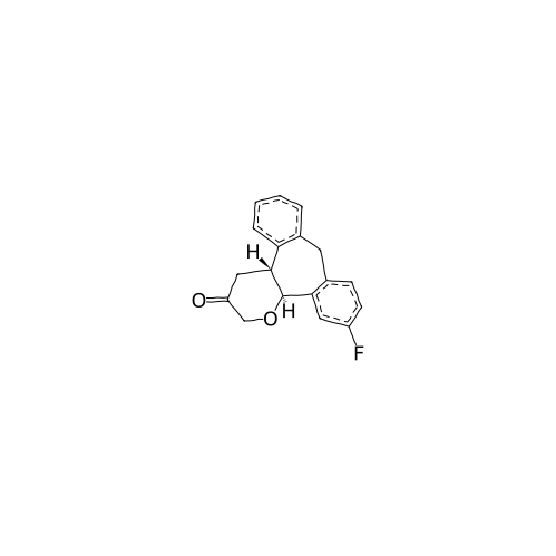 O=C1CO[C@@H]2c3cc(F)ccc3Cc3ccccc3[C@H]2C1